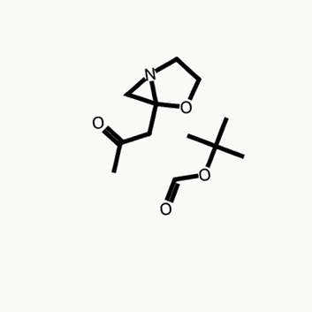 CC(=O)CC12CN1CCO2.CC(C)(C)OC=O